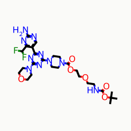 CC(C)(C)OC(=O)NCCOCCOC(=O)N1CCN(c2nc(-c3cnc(N)nc3C(F)F)nc(N3CCOCC3)n2)CC1